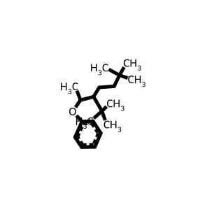 CC(Oc1ccccc1)C(CCC(C)(C)C)C(C)(C)C